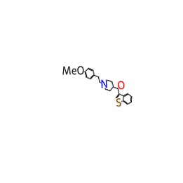 COc1ccc(CCN2CCC(C(=O)c3csc4ccccc34)CC2)cc1